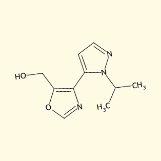 CC(C)n1nccc1-c1ncoc1CO